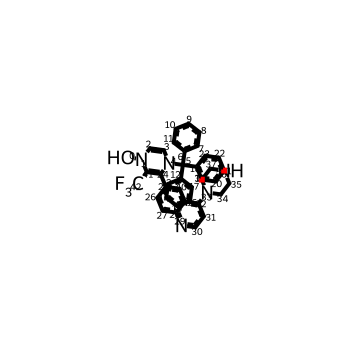 ON1C=CN(C(c2ccccc2)(c2ccccc2)c2ccccc2)C(c2ccc3nccc(N4CCNCC4)c3c2)=C1C(F)(F)F